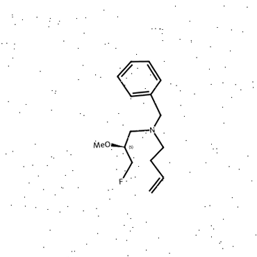 C=CCCN(Cc1ccccc1)C[C@@H](CF)OC